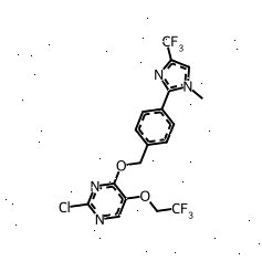 Cn1cc(C(F)(F)F)nc1-c1ccc(COc2nc(Cl)ncc2OCC(F)(F)F)cc1